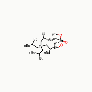 CC(C)[O][Ti](=[O])([O]C(C)C)([CH](C)C)[CH](C)C.CCCCC(CC)[CH2][Ti]([CH2]C(CC)CCCC)([CH2]C(CC)CCCC)[CH2]C(CC)CCCC